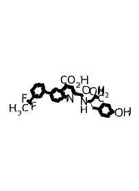 C=C(O)[C@H](Cc1ccc(O)cc1)NC(=O)c1cc(C(=O)O)c2cc(-c3cccc(C(C)(F)F)c3)ccc2n1